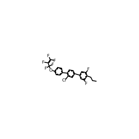 CCCc1c(F)cc(-c2ccc(-c3ccc(OC(F)(F)C(F)=C(F)F)cc3)c(Cl)c2)cc1F